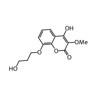 COc1c(O)c2cccc(OCCCO)c2oc1=O